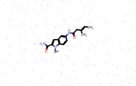 C/C=C(\C)CC(=O)Nc1ccc2c(c1)cc(C(N)=O)n2CCC